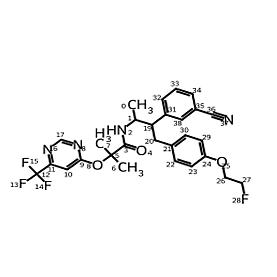 CC(NC(=O)C(C)(C)Oc1cc(C(F)(F)F)ncn1)C(Cc1ccc(OCCF)cc1)c1cccc(C#N)c1